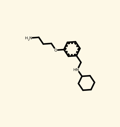 NCCCOc1cccc(CNC2CCCCC2)c1